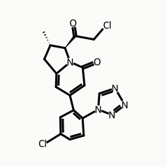 C[C@H]1Cc2cc(-c3cc(Cl)ccc3-n3cnnn3)cc(=O)n2[C@@H]1C(=O)CCl